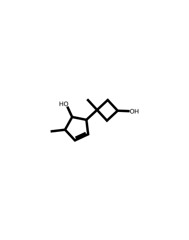 CC1C=CC(C2(C)CC(O)C2)C1O